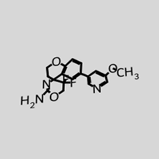 COc1cncc(-c2ccc3c(c2)C2(CCO3)N=C(N)OCC2(F)F)c1